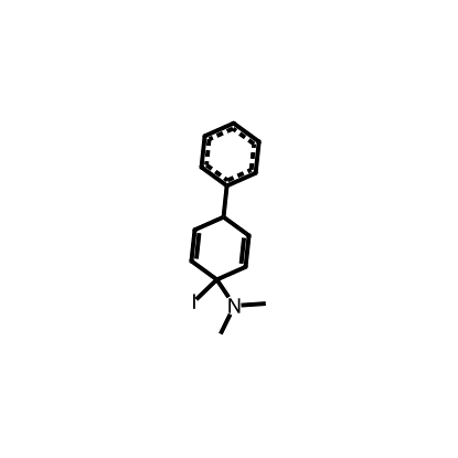 CN(C)C1(I)C=CC(c2ccccc2)C=C1